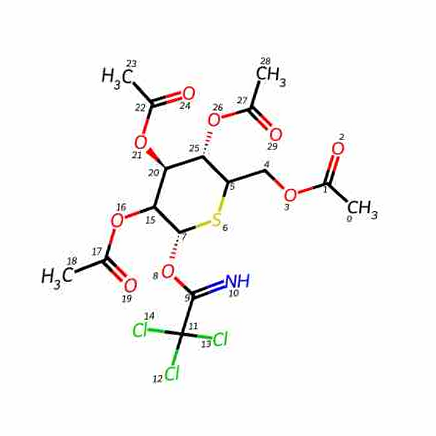 CC(=O)OCC1S[C@H](OC(=N)C(Cl)(Cl)Cl)C(OC(C)=O)[C@@H](OC(C)=O)[C@@H]1OC(C)=O